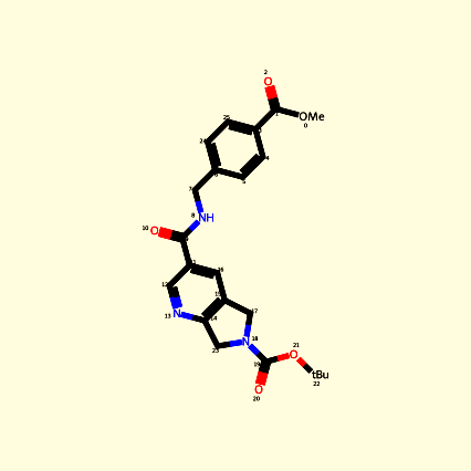 COC(=O)c1ccc(CNC(=O)c2cnc3c(c2)CN(C(=O)OC(C)(C)C)C3)cc1